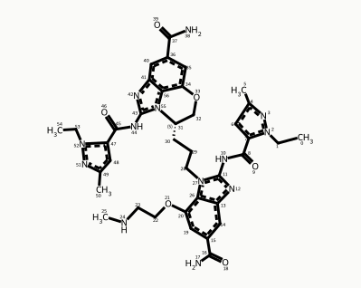 CCn1nc(C)cc1C(=O)Nc1nc2cc(C(N)=O)cc(OCCNC)c2n1CCC[C@H]1COc2cc(C(N)=O)cc3nc(NC(=O)c4cc(C)nn4CC)n1c23